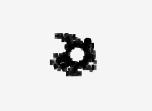 C[C@H](NC(=O)CNC(=O)[C@@H]1CCCC[C@H](NC(=O)[C@H](C)NC(=O)CN)C(=O)N[C@@H](CCCNC(N)=O)C(=O)N[C@@H](CCCNC(O)O)C(=O)N[C@@H](CCC(=O)O)C(=O)N[C@H]([C@@H](C)O)C(=O)N[C@@H](C)C(=O)N[C@@H](Cc2c[nH]c3ccccc23)C(=O)N[C@@H](C)C(=O)N1)C(=O)O